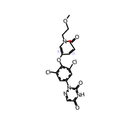 COCCN(C)/C=C(\C=C/C=O)Oc1c(Cl)cc(-n2ncc(=O)[nH]c2=O)cc1Cl